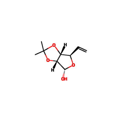 C=C[C@H]1O[C@H](O)[C@@H]2OC(C)(C)O[C@@H]21